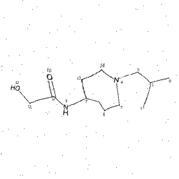 CC(C)CN1CCC(NC(=O)CO)CC1